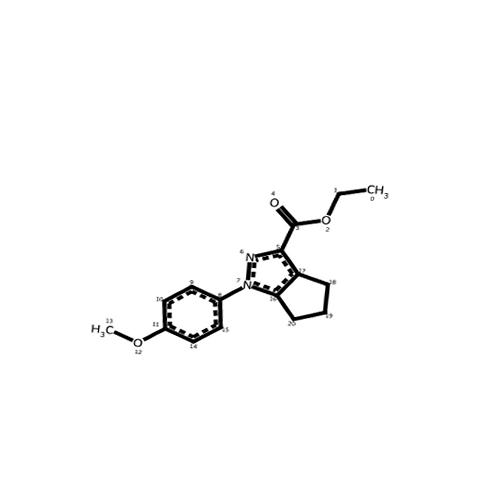 CCOC(=O)c1nn(-c2ccc(OC)cc2)c2c1CCC2